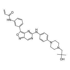 C=CC(=O)Nc1cccc(-c2onc3cnc(Nc4ccc(N5CCN(CC(C)(C)O)CC5)cc4)nc23)c1